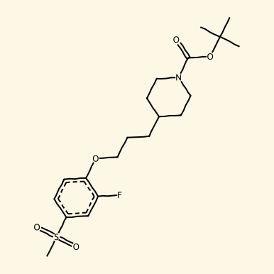 CC(C)(C)OC(=O)N1CCC(CCCOc2ccc(S(C)(=O)=O)cc2F)CC1